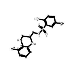 Cc1ccc(O)cc1S(=O)(=O)OCC1COc2c(Cl)cccc2O1